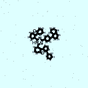 c1ccc(-c2cccc3c2oc2cccc(C4N=C(c5ccc(-c6cccc7ccccc67)cc5)N=C(c5cccc6oc7ccccc7c56)N4)c23)cc1